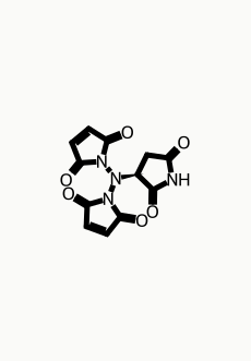 O=C1C[C@H](N(N2C(=O)C=CC2=O)N2C(=O)C=CC2=O)C(=O)N1